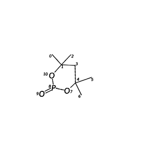 CC1(C)CC(C)(C)O[P](=O)O1